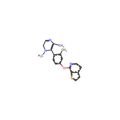 CC1=C(c2ccc(Oc3nccc4ccsc34)cc2C)N(C)CC=N1